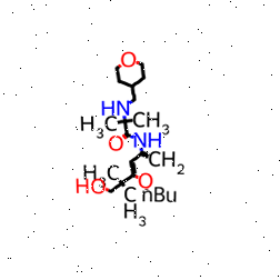 C=C(/C=C(\OCCCC)C(C)(C)CO)NC(=O)C(C)(C)NCC1CCOCC1